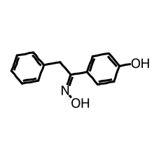 ON=C(Cc1ccccc1)c1ccc(O)cc1